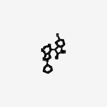 O=C1Nc2ccc(F)cc2C1c1ncnc2nn(-c3ccccc3)cc12